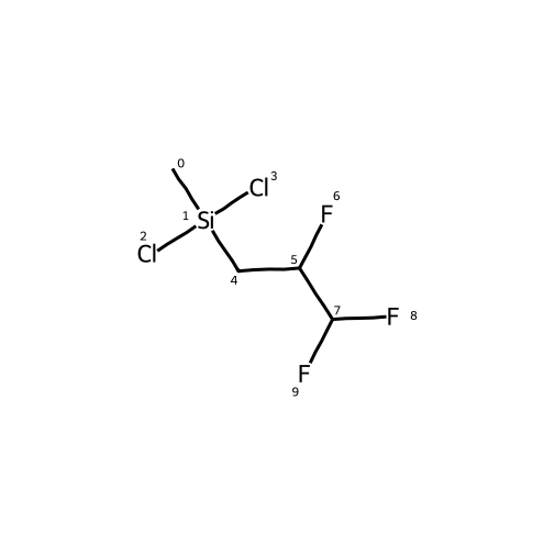 C[Si](Cl)(Cl)CC(F)C(F)F